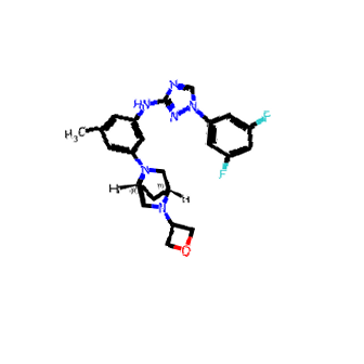 Cc1cc(Nc2ncn(-c3cc(F)cc(F)c3)n2)cc(N2C[C@H]3C[C@@H]2CN3C2COC2)c1